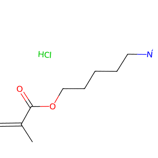 C=C(C)C(=O)OCCCCCNC.Cl